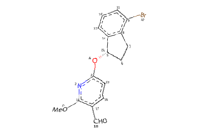 COc1nc(O[C@H]2CCc3c(Br)cccc32)ccc1C=O